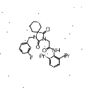 CC(C)c1cccc(C(C)C)c1NC(=O)CN1C(=O)N(Cc2cccc(F)c2)C2(CCCCC2)C1=O